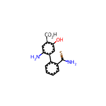 NC(=S)c1ccccc1-c1cc(O)c(C(=O)O)cc1N